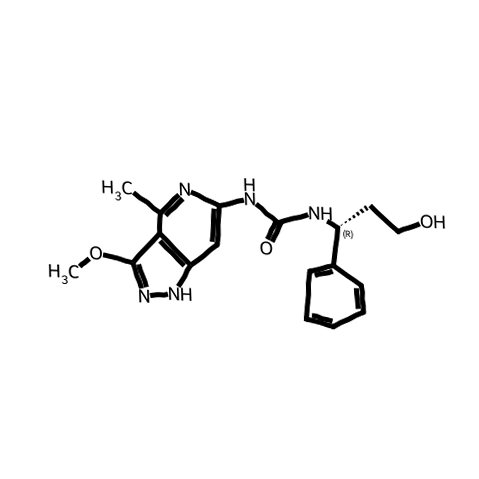 COc1n[nH]c2cc(NC(=O)N[C@H](CCO)c3ccccc3)nc(C)c12